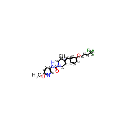 COc1ccc(NC(=O)N2CC/C(=C\c3cccc(OCCCC(F)(F)F)c3)C(C)C2)cn1